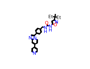 CCC(C)(CC)c1cc(NC(=O)NCc2ccc(-c3cnc4cc(-c5ccncc5)ccn34)cc2)on1